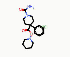 Cl.NC(=O)N1CCC(C(=O)ON2CCCCC2)(c2ccccc2)CC1